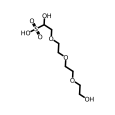 O=S(=O)(O)C(O)COCCOCCOCCO